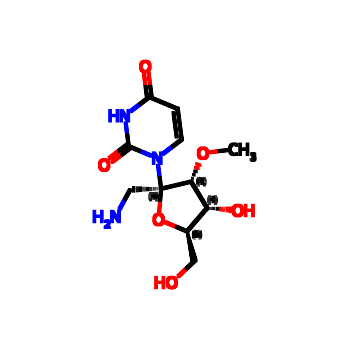 CO[C@@H]1[C@H](O)[C@@H](CO)O[C@@]1(CN)n1ccc(=O)[nH]c1=O